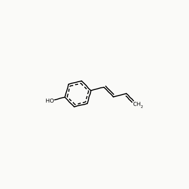 C=CC=Cc1ccc(O)cc1